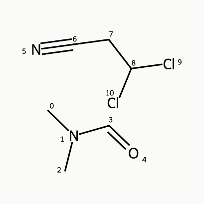 CN(C)C=O.N#CCC(Cl)Cl